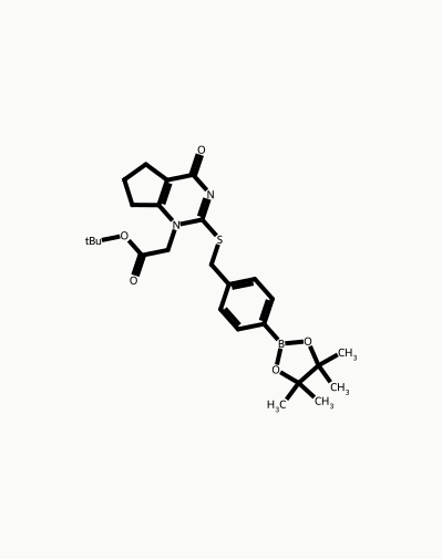 CC(C)(C)OC(=O)Cn1c(SCc2ccc(B3OC(C)(C)C(C)(C)O3)cc2)nc(=O)c2c1CCC2